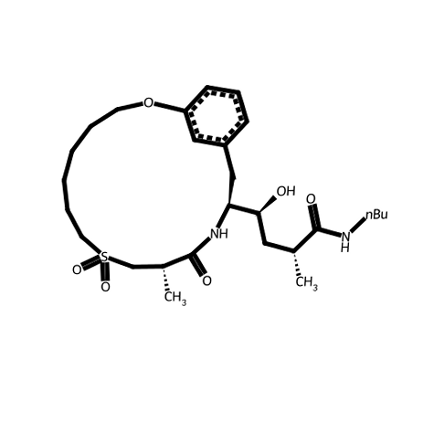 CCCCNC(=O)[C@H](C)C[C@H](O)[C@@H]1Cc2cccc(c2)OCCCCCCS(=O)(=O)C[C@@H](C)C(=O)N1